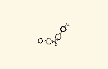 CC(=O)c1ccc(N2CCN(C(=O)N3CCN(C4CCCC4)CC3)CC2)cc1